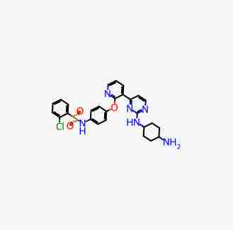 NC1CCC(Nc2nccc(-c3cccnc3Oc3ccc(NS(=O)(=O)c4ccccc4Cl)cc3)n2)CC1